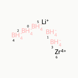 [BH4-].[BH4-].[BH4-].[BH4-].[BH4-].[Li+].[Zr+4]